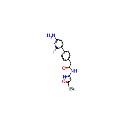 CC(C)(C)c1cc(NC(=O)Cc2ccc(-c3ccc(N)nc3F)cc2)no1